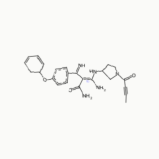 CC#CC(=O)N1CCC(N/C(N)=C(\C(=N)c2ccc(OC3C=CC=CC3)cc2)C(N)=O)C1